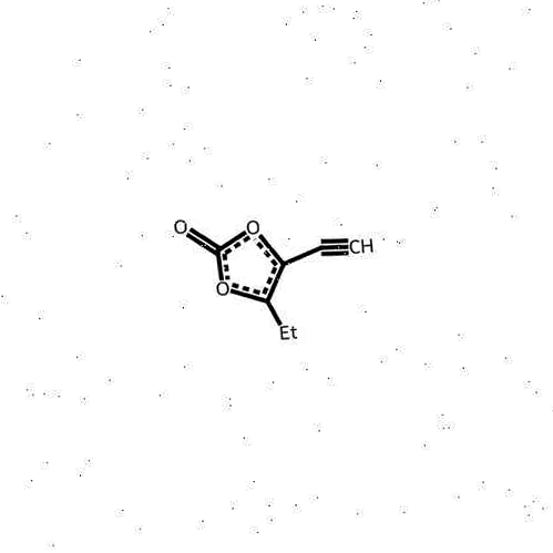 C#Cc1oc(=O)oc1CC